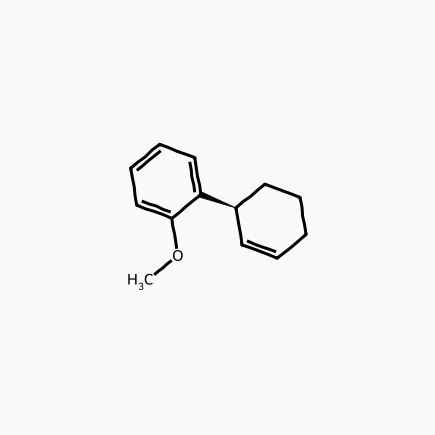 COc1ccccc1[C@@H]1C=CCCC1